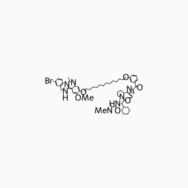 CN[C@@H](C)C(=O)N[C@H](C(=O)N1CCC[C@H]1c1nc(C(=O)c2cccc(OCCCCCCCCCCCCOc3cc4nc(C)nc(N[C@H](C)c5cccc(Br)c5)c4cc3OC)c2)cs1)C1CCCCC1